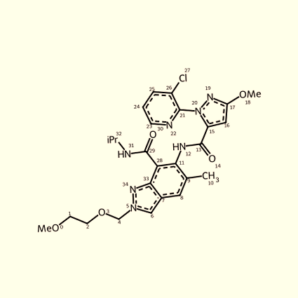 COCCOCn1cc2cc(C)c(NC(=O)c3cc(OC)nn3-c3ncccc3Cl)c(C(=O)NC(C)C)c2n1